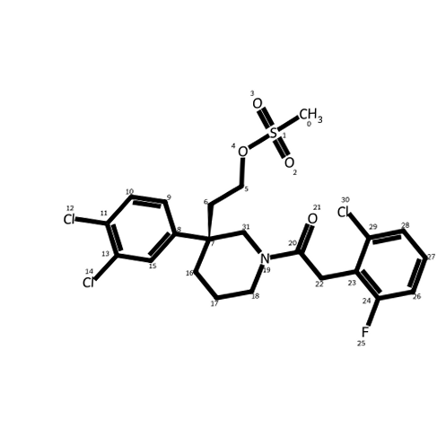 CS(=O)(=O)OCC[C@]1(c2ccc(Cl)c(Cl)c2)CCCN(C(=O)Cc2c(F)cccc2Cl)C1